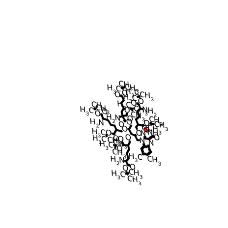 Cc1cc2nc3c(=O)[nH]c(=O)nc-3n(CC(OCC(CCCC(N)C(=O)OC(C)(C)C)C(=O)OC(C)(C)C)C(OCC(CCCC(N)C(=O)OC(C)(C)C)C(=O)OC(C)(C)C)C(COC(=O)C(N)(CCCCC(=O)OC(C)(C)C)C(=O)OC(C)(C)C)OCC(CCCC(N)C(=O)OC(C)(C)C)C(=O)OC(C)(C)C)c2cc1C